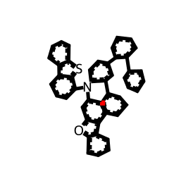 c1ccc(-c2ccccc2-c2ccc(N(c3ccc4c(c3)oc3ccccc34)c3cccc4c3sc3ccccc34)c(-c3ccccc3)c2)cc1